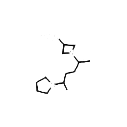 CC(CCC(C)N1CC(C(=O)O)C1)N1CCCC1